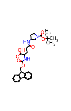 CC(C)(C)OC(=O)N1CC[C@H](NC(=O)CCC(NC(=O)OCC2c3ccccc3-c3ccccc32)C(=O)O)C1